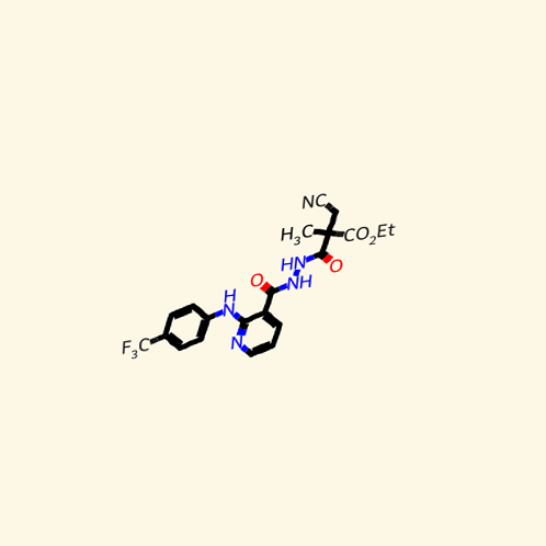 CCOC(=O)C(C)(CC#N)C(=O)NNC(=O)c1cccnc1Nc1ccc(C(F)(F)F)cc1